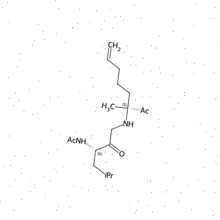 C=CCCC[C@](C)(NCC(=O)[C@H](CC(C)C)NC(C)=O)C(C)=O